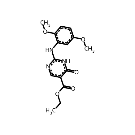 CCOC(=O)c1cnc(Nc2cc(OC)ccc2OC)[nH]c1=O